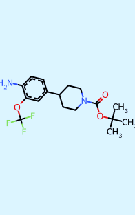 CC(C)(C)OC(=O)N1CCC(c2ccc(N)c(OC(F)(F)F)c2)CC1